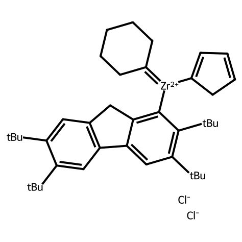 CC(C)(C)c1cc2c(cc1C(C)(C)C)-c1cc(C(C)(C)C)c(C(C)(C)C)[c]([Zr+2]([C]3=CC=CC3)=[C]3CCCCC3)c1C2.[Cl-].[Cl-]